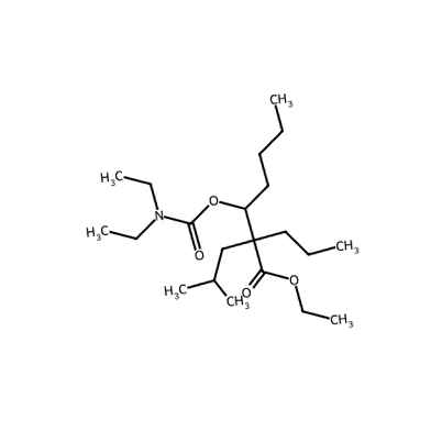 CCCCC(OC(=O)N(CC)CC)C(CCC)(CC(C)C)C(=O)OCC